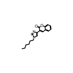 CCCCCCn1cc(-c2cc3ccccc3oc2=O)nn1